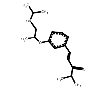 CC(C)NC[C@H](C)Oc1cccc(/C=C/C(=O)C(C)C)c1